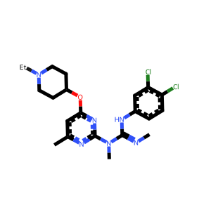 CCN1CCC(Oc2cc(C)nc(N(C)/C(=N/C)Nc3ccc(Cl)c(Cl)c3)n2)CC1